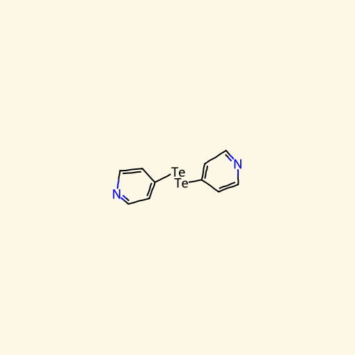 c1cc([Te][Te]c2ccncc2)ccn1